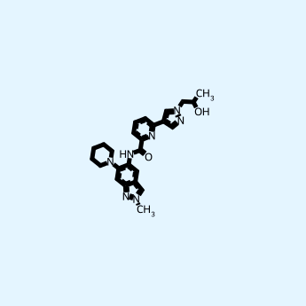 CC(O)Cn1cc(-c2cccc(C(=O)Nc3cc4cn(C)nc4cc3N3CCCCC3)n2)cn1